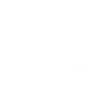 O=C(O)CCC(O)c1ccc2sc3ccccc3c2c1